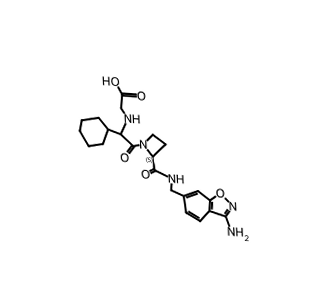 Nc1noc2cc(CNC(=O)[C@@H]3CCN3C(=O)C(NCC(=O)O)C3CCCCC3)ccc12